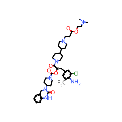 CN(C)CCOC(=O)CCN1CCC(C2CCN(C(=O)[C@@H](Cc3cc(Cl)c(N)c(C(F)(F)F)c3)OC(=O)N3CCC(N4Cc5ccccc5NC4=O)CC3)CC2)CC1